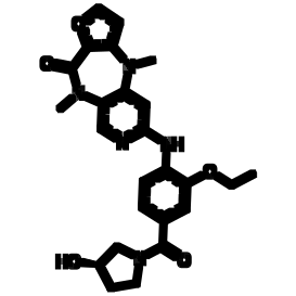 CCOc1cc(C(=O)N2CC[C@@H](O)C2)ccc1Nc1cc2c(cn1)N(C)C(=O)c1occc1N2C